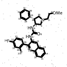 COCCN1C[C@@H](NC(=O)Nc2cc3ccccc3nc2-c2ccc(F)cc2F)[C@H](c2ccccc2)C1